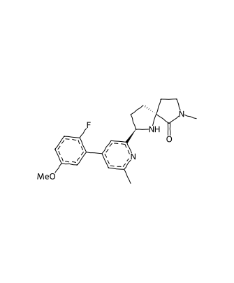 COc1ccc(F)c(-c2cc(C)nc([C@H]3CC[C@@]4(CCN(C)C4=O)N3)c2)c1